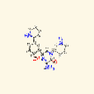 Nc1nc(-c2cc(C3CCCCN3)ccc2O)cn(C2CCCNC2)c1=O